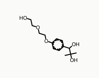 CC(C)(O)C(O)c1ccc(OCCOCCO)cc1